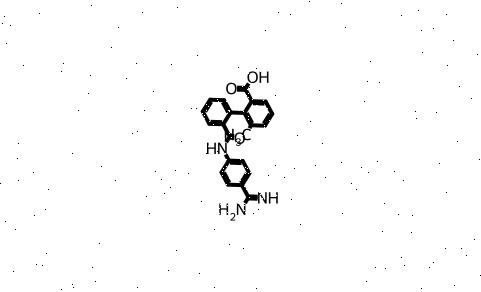 Cc1cccc(C(=O)O)c1-c1ccccc1C(=O)Nc1ccc(C(=N)N)cc1